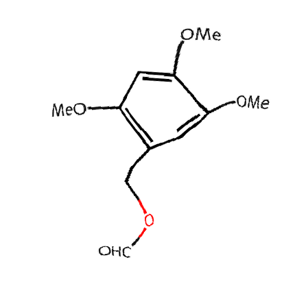 COc1cc(OC)c(OC)cc1COC=O